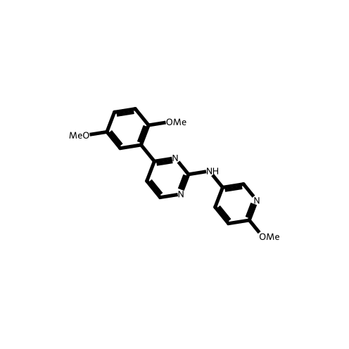 COc1ccc(OC)c(-c2ccnc(Nc3ccc(OC)nc3)n2)c1